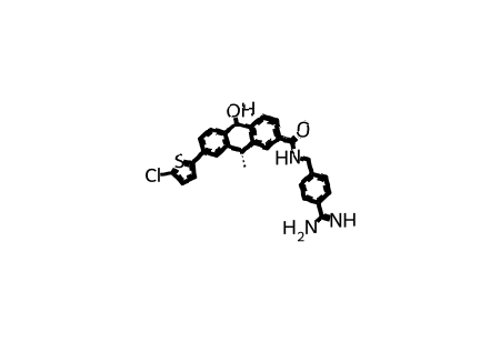 C[C@H]1c2cc(C(=O)NCc3ccc(C(=N)N)cc3)ccc2C(O)c2ccc(-c3ccc(Cl)s3)cc21